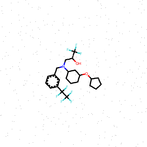 OC(CN(Cc1cccc(C(F)(F)C(F)(F)F)c1)C1CCCC(OC2CCCC2)C1)C(F)(F)F